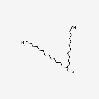 C=C(CCCCCCCCCCC)CCCCCCCCCCCCC